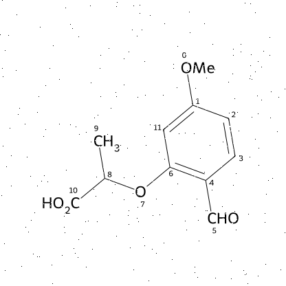 COc1ccc(C=O)c(OC(C)C(=O)O)c1